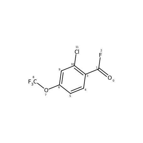 O=C(F)c1ccc(OC(F)(F)F)cc1Cl